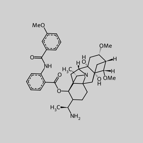 COc1cccc(C(=O)Nc2ccccc2C(=O)OC23C([C@H](C)N)CCC45C2C[C@@H](N4[C@H]3C)[C@@]2(O)C[C@H](OC)[C@H]3CC5[C@]2(O)[C@H]3OC)c1